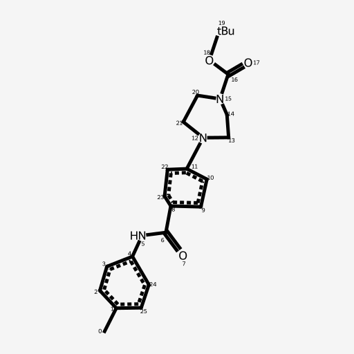 Cc1ccc(NC(=O)c2ccc(N3CCN(C(=O)OC(C)(C)C)CC3)cc2)cc1